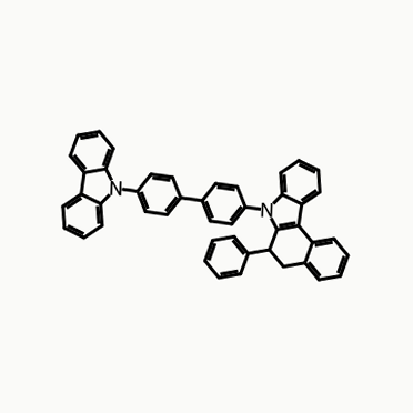 c1ccc(C2Cc3ccccc3-c3c2n(-c2ccc(-c4ccc(-n5c6ccccc6c6ccccc65)cc4)cc2)c2ccccc32)cc1